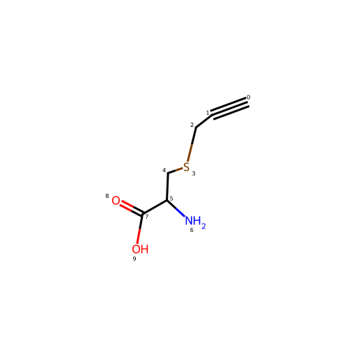 C#CCSCC(N)C(=O)O